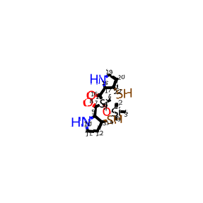 C[Si](C)(C)O[Si](C)(C(=O)C1NCCC1S)C(=O)C1NCCC1S